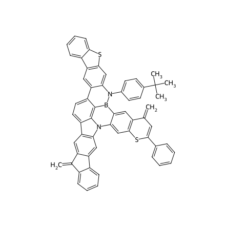 C=C1C=C(c2ccccc2)Sc2cc3c(cc21)B1c2c(ccc4c5cc6c(cc5n-3c24)-c2ccccc2C6=C)-c2cc3c(cc2N1c1ccc(C(C)(C)C)cc1)sc1ccccc13